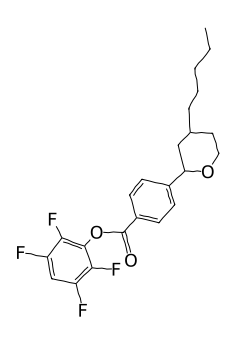 CCCCCC1CCOC(c2ccc(C(=O)Oc3c(F)c(F)cc(F)c3F)cc2)C1